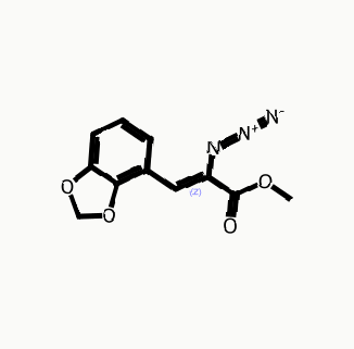 COC(=O)/C(=C/c1cccc2c1OCO2)N=[N+]=[N-]